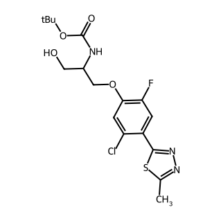 Cc1nnc(-c2cc(F)c(OCC(CO)NC(=O)OC(C)(C)C)cc2Cl)s1